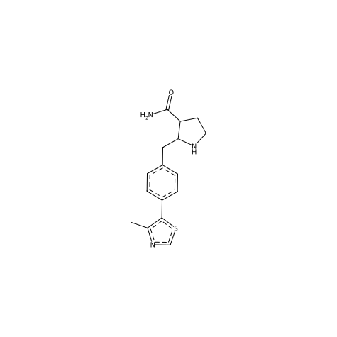 Cc1ncsc1-c1ccc(CC2NCCC2C(N)=O)cc1